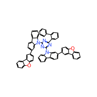 c1ccc(-c2ccccc2-c2nc(-n3c4ccccc4c4ccc(-c5ccc6oc7ccccc7c6c5)cc43)nc(-n3c4ccccc4c4ccc(-c5ccc6oc7ccccc7c6c5)cc43)n2)cc1